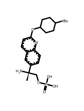 CC(C)(C)C1CCC(Oc2ccc3cc([C@@](C)(N)COP(=O)(O)O)ccc3n2)CC1